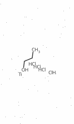 CCCO.Cl.Cl.Cl.Cl.[Ti]